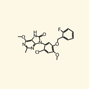 COc1cc(Cl)c(-n2c(=O)[nH]c3c(OC)nc(C)nc32)cc1OCc1ccccc1F